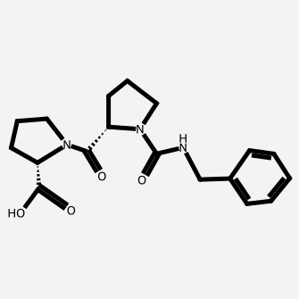 O=C(O)[C@@H]1CCCN1C(=O)[C@@H]1CCCN1C(=O)NCc1ccccc1